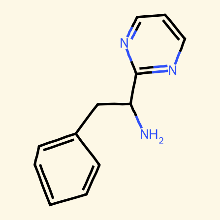 NC(Cc1ccccc1)c1ncccn1